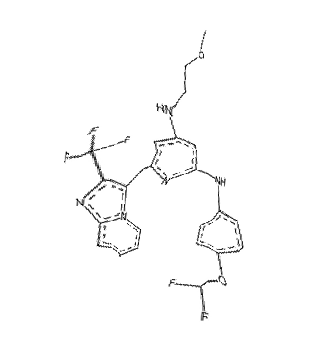 COCCNc1cc(Nc2ccc(OC(F)F)cc2)nc(-c2c(C(F)(F)F)nc3ccccn23)c1